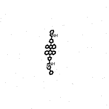 C1=CC2NC(c3ccc(-c4c5ccccc5c(-c5c6ccccc6c(-c6ccc(C7=CN8C=CC(c9ccccc9)=CC8N7)cc6)c6ccccc56)c5ccccc45)cc3)=CN2C=C1